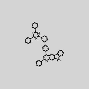 CC1(C)c2ccccc2-c2cc3c(-c4ccc(-c5cccc(-c6nc(-c7ccccc7)nc(-c7ccccc7)n6)c5)cc4)cc(-c4ccccc4)nc3cc21